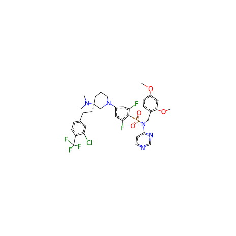 COc1ccc(CN(c2ccncn2)S(=O)(=O)c2c(F)cc(N3CCC[C@](CCc4ccc(C(F)(F)F)c(Cl)c4)(N(C)C)C3)cc2F)c(OC)c1